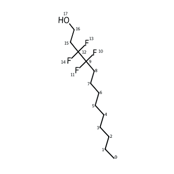 CCCCCCCCCC(F)(F)C(F)(F)CCO